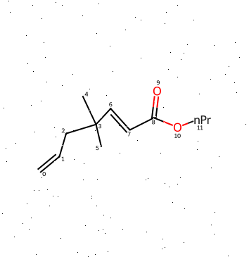 C=CCC(C)(C)/C=C/C(=O)OCCC